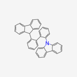 c1ccc2c(c1)-c1ccccc1C2c1ccccc1-c1ccccc1-n1c2ccccc2c2ccccc21